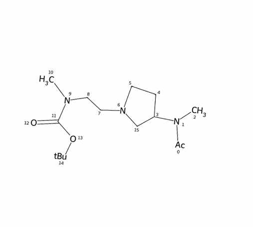 CC(=O)N(C)C1CCN(CCN(C)C(=O)OC(C)(C)C)C1